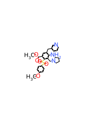 COC(=O)c1cc(Cc2cccnc2)c(N)c(CN2CCCC2)c1S(=O)(=O)c1ccc(OC)cc1